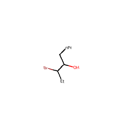 [CH2]CC(Br)C(O)CCCC